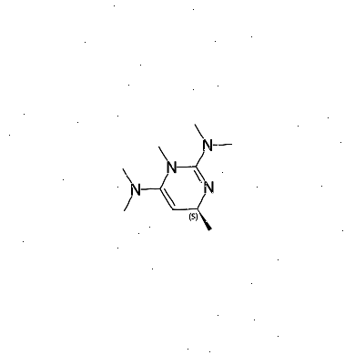 C[C@H]1C=C(N(C)C)N(C)C(N(C)C)=N1